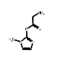 Cn1ccnc1OC(=O)CN